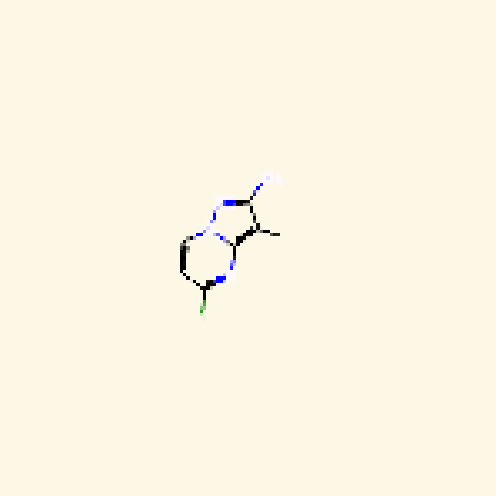 CCOC(=O)c1c(N)nn2ccc(Br)nc12